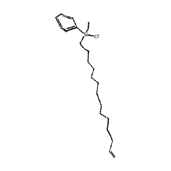 C=CCCCCCCCCCCCC[Si](C)(Cl)c1ccccc1